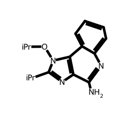 CC(C)On1c(C(C)C)nc2c(N)nc3ccccc3c21